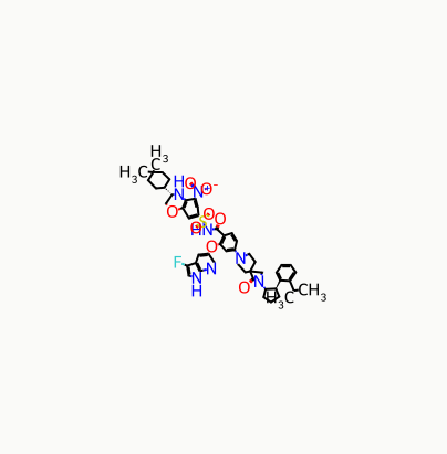 CC(C)c1ccccc1[C@H]1CCC[C@H]1N1CC2(CCN(c3ccc(C(=O)NS(=O)(=O)c4cc5c(c([N+](=O)[O-])c4)N[C@@H](C4CCC(C)(C)CC4)CO5)c(Oc4cnc5[nH]cc(F)c5c4)c3)CC2)C1=O